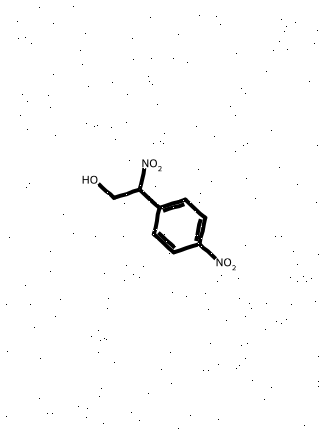 O=[N+]([O-])c1ccc(C(CO)[N+](=O)[O-])cc1